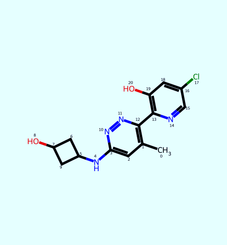 Cc1cc(NC2CC(O)C2)nnc1-c1ncc(Cl)cc1O